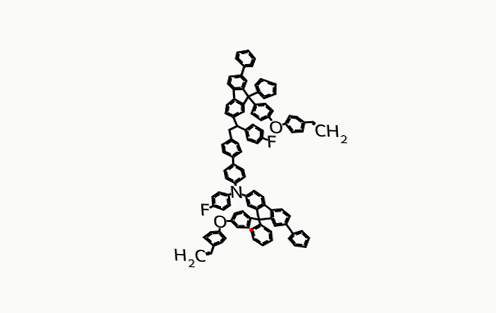 C=Cc1ccc(Oc2ccc(C3(c4ccccc4)c4cc(-c5ccccc5)ccc4-c4ccc(C(Cc5ccc(-c6ccc(N(c7ccc(F)cc7)c7ccc8c(c7)C(c7ccccc7)(c7ccc(Oc9ccc(C=C)cc9)cc7)c7cc(-c9ccccc9)ccc7-8)cc6)cc5)c5ccc(F)cc5)cc43)cc2)cc1